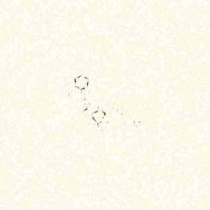 COCN1CCCC1c1nc(C(=O)NCc2ccccc2N(C)C)c(O)c(=O)n1C